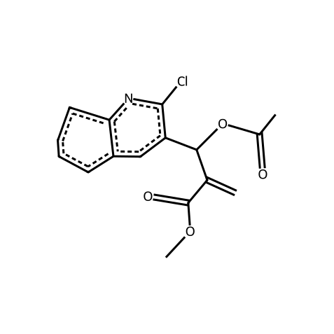 C=C(C(=O)OC)C(OC(C)=O)c1cc2ccccc2nc1Cl